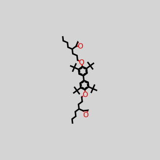 CCCCC(CCCOc1c(C(C)(C)C)cc(-c2cc(C(C)(C)C)c(OCCCC(CCCC)C3CO3)c(C(C)(C)C)c2)cc1C(C)(C)C)C1CO1